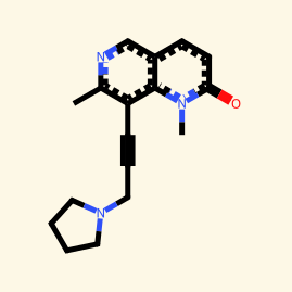 Cc1ncc2ccc(=O)n(C)c2c1C#CCN1CCCC1